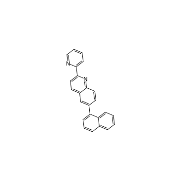 c1ccc(-c2ccc3cc(-c4cccc5ccccc45)ccc3n2)nc1